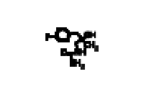 CC(O)(CNC(N)=O)Cc1ccc(F)cc1